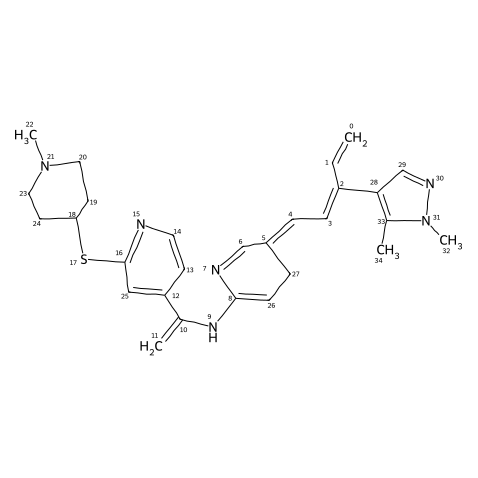 C=C/C(=C\C=C1\C=NC(NC(=C)c2ccnc(SC3CCN(C)CC3)c2)=CC1)c1cnn(C)c1C